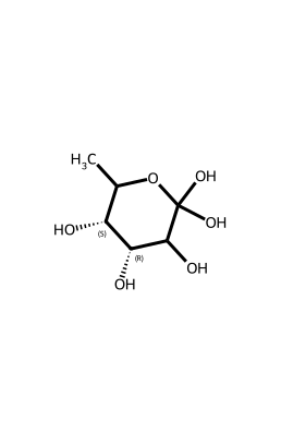 CC1OC(O)(O)C(O)[C@H](O)[C@@H]1O